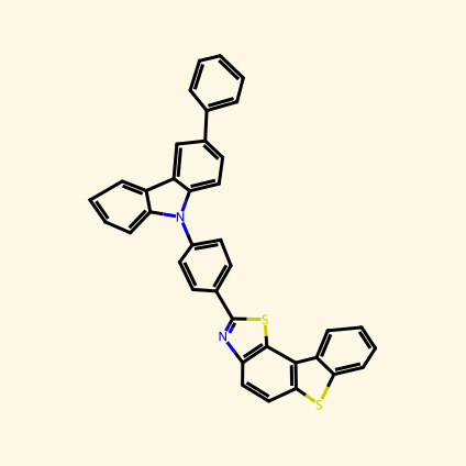 c1ccc(-c2ccc3c(c2)c2ccccc2n3-c2ccc(-c3nc4ccc5sc6ccccc6c5c4s3)cc2)cc1